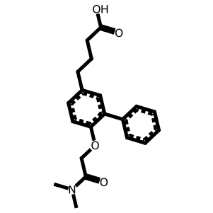 CN(C)C(=O)COc1ccc(CCCC(=O)O)cc1-c1ccccc1